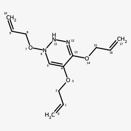 C=CCOC1=CN(OCC=C)NN=C1OCC=C